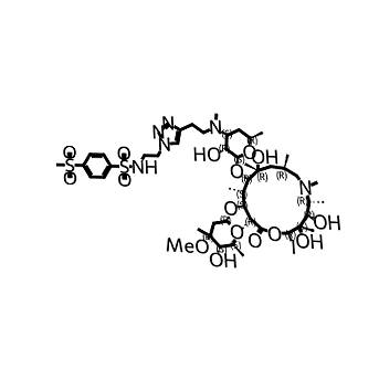 CO[C@]1(C)C[C@H](O[C@H]2[C@H](C)[C@@H](O[C@@H]3O[C@H](C)C[C@H](N(C)CCc4cn(CCNS(=O)(=O)c5ccc(S(C)(=O)=O)cc5)nn4)[C@H]3O)[C@](C)(O)C[C@@H](C)CN(C)[C@H](C)[C@@H](O)[C@](C)(O)[C@@H](I)OC(=O)[C@@H]2C)O[C@@H](C)[C@@H]1O